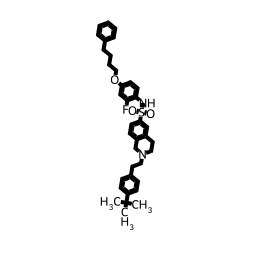 CC(C)(C)c1ccc(CCN2CCc3cc(S(=O)(=O)Nc4ccc(OCCCCc5ccccc5)cc4F)ccc3C2)cc1